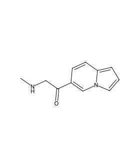 CNCC(=O)c1ccc2cccn2c1